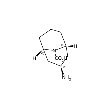 N[C@@H]1C[C@H]2CCC[C@@H](C1)N2C(=O)O